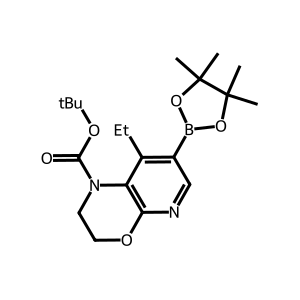 CCc1c(B2OC(C)(C)C(C)(C)O2)cnc2c1N(C(=O)OC(C)(C)C)CCO2